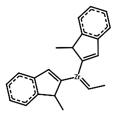 C[CH]=[Zr]([C]1=Cc2ccccc2C1C)[C]1=Cc2ccccc2C1C